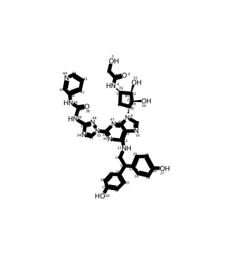 O=C(CO)N[C@H]1C[C@@H](n2cnc3c(NCC(c4ccc(O)cc4)c4ccc(O)cc4)nc(-n4cnc(NC(=O)Nc5cccnc5)n4)nc32)[C@H](O)[C@@H]1O